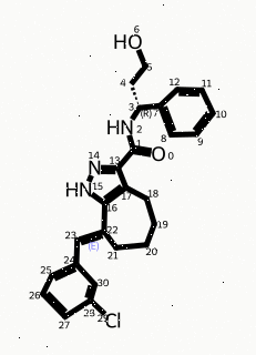 O=C(N[C@H](CCO)c1ccccc1)c1n[nH]c2c1CCCC/C2=C\c1cccc(Cl)c1